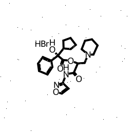 Br.O=C(Nc1ccon1)C(CN1CCCCC1)OC(=O)C(O)(c1ccccc1)C1CCCC1